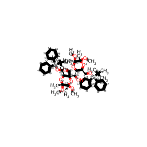 CO[C@]1(C)O[C@@H](CO[Si](c2ccccc2)(c2ccccc2)C(C)(C)C)[C@H](C(O)[C@@]2(C=O)O[C@@](C)(OC)[C@](C)(OC)O[C@H]2CO[Si](c2ccccc2)(c2ccccc2)C(C)(C)C)O[C@@]1(C)OC